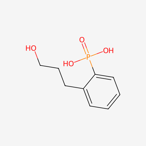 O=P(O)(O)c1ccccc1CCCO